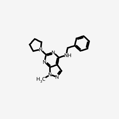 Cn1ncc2c(NCc3ccccc3)nc(N3CCCC3)nc21